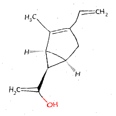 C=CC1=C(C)[C@H]2[C@@H](C1)[C@H]2C(=C)O